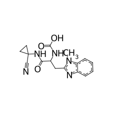 Cn1c(CC(NC(=O)O)C(=O)NC2(C#N)CC2)nc2ccccc21